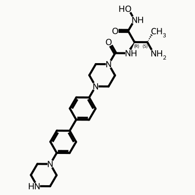 C[C@H](N)[C@@H](NC(=O)N1CCN(c2ccc(-c3ccc(N4CCNCC4)cc3)cc2)CC1)C(=O)NO